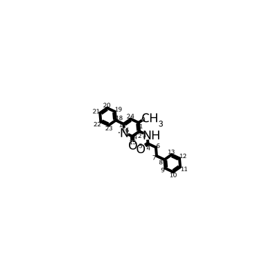 CC1=C(NC(=O)CCc2ccccc2)C(=O)[N]C(c2ccccc2)=C1